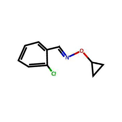 Clc1ccccc1/[C]=N/OC1CC1